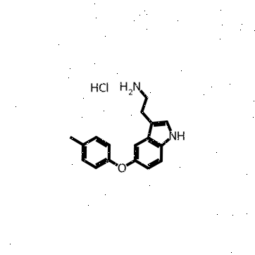 Cc1ccc(Oc2ccc3[nH]cc(CCN)c3c2)cc1.Cl